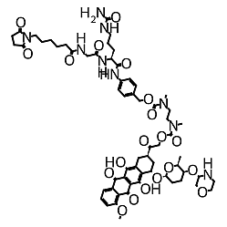 COc1cccc2c1C(=O)c1c(O)c3c(c(O)c1C2=O)C[C@@H](C(=O)COC(=O)N(C)CCN(C)C(=O)OCc1ccc(NC(=O)[C@H](CCCNC(N)=O)NC(=O)CNC(=O)CCCCCN2C(=O)CCC2=O)cc1)C[C@@H]3O[C@H]1CC[C@H](O[C@@H]2COCCN2)[C@H](C)O1